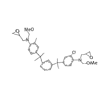 COCN(CC1CO1)c1ccc(C(C)(C)c2cccc(C(C)(C)c3ccc(N(COC)CC4CO4)c(Cl)c3)c2)cc1C